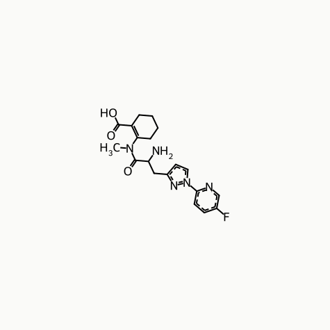 CN(C(=O)C(N)Cc1ccn(-c2ccc(F)cn2)n1)C1=C(C(=O)O)CCCC1